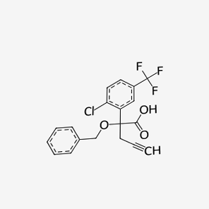 C#CCC(OCc1ccccc1)(C(=O)O)c1cc(C(F)(F)F)ccc1Cl